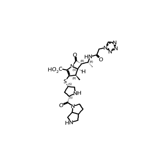 C[C@@H](NC(=O)Cn1cnnn1)[C@H]1C(=O)N2C(C(=O)O)=C(S[C@@H]3CN[C@H](C(=O)N4CCC5CNCC54)C3)[C@H](C)[C@H]12